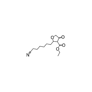 CCOC(=O)C1C(=O)COC1CCCCCCC#N